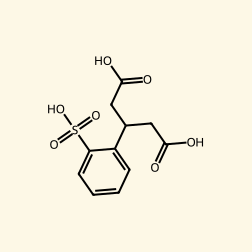 O=C(O)CC(CC(=O)O)c1ccccc1S(=O)(=O)O